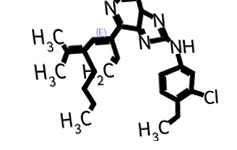 C=C/C(=C\C(CCCC)=C(C)C)C1=NC=CC2N=C(Nc3ccc(CC)c(Cl)c3)N=C12